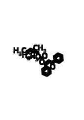 CC(C)CC(C)(C)COC(=O)O/C(=C/C(=O)c1ccccc1)c1ccccc1